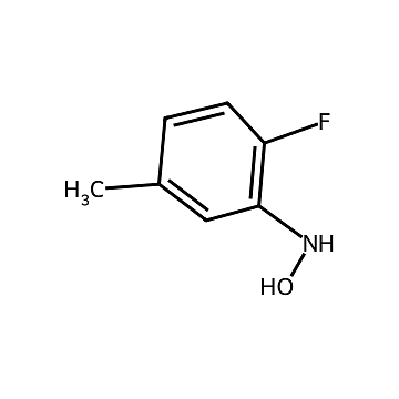 Cc1ccc(F)c(NO)c1